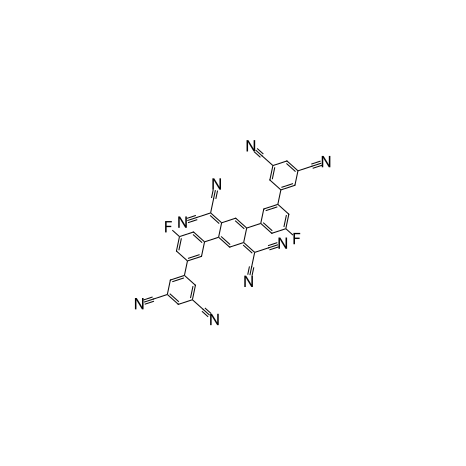 N#CC(C#N)=c1cc(-c2cc(F)cc(-c3cc(C#N)cc(C#N)c3)c2)c(=C(C#N)C#N)cc1-c1cc(F)cc(-c2cc(C#N)cc(C#N)c2)c1